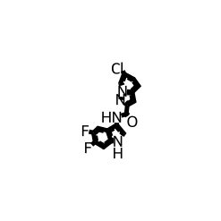 O=C(Nc1c[nH]c2cc(F)c(F)cc12)c1cc2ccc(Cl)cn2n1